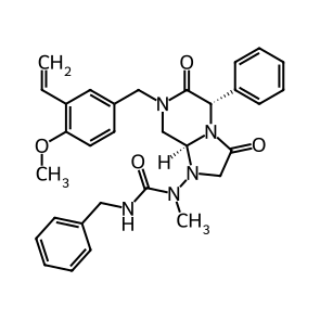 C=Cc1cc(CN2C[C@H]3N(C(=O)CN3N(C)C(=O)NCc3ccccc3)[C@@H](c3ccccc3)C2=O)ccc1OC